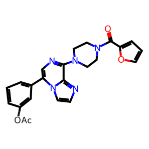 CC(=O)Oc1cccc(-c2cnc(N3CCN(C(=O)c4ccco4)CC3)c3nccn23)c1